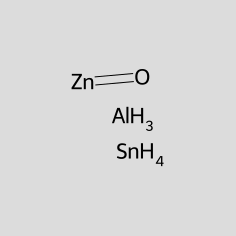 [AlH3].[O]=[Zn].[SnH4]